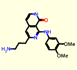 COc1ccc(Nc2nc(CCCN)cc3c2C(=O)[N]C=C3)cc1OC